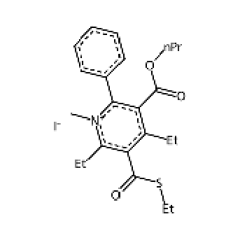 CCCOC(=O)c1c(CC)c(C(=O)SCC)c(CC)[n+](C)c1-c1ccccc1.[I-]